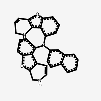 C1=Cc2oc3cccc(N(c4ccc5ccccc5c4)c4cccc5oc6c(c45)C=CNC6)c3c2NC1